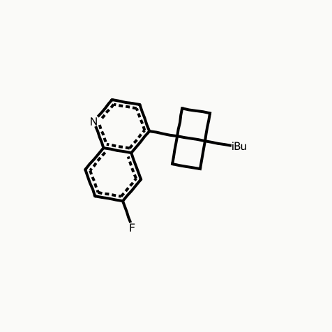 CCC(C)C12CCC1(c1ccnc3ccc(F)cc13)CC2